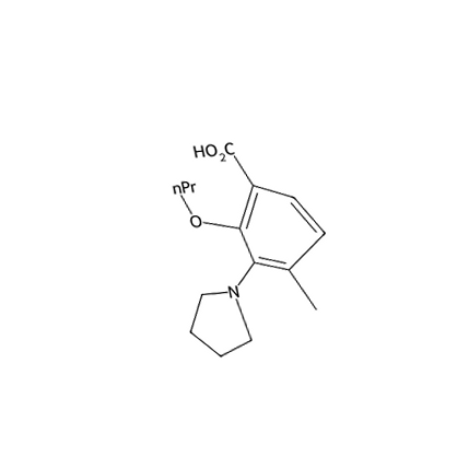 CCCOc1c(C(=O)O)ccc(C)c1N1CCCC1